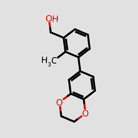 Cc1c(CO)cccc1-c1ccc2c(c1)OCCO2